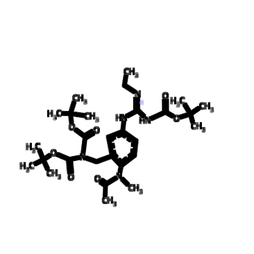 CC/N=C(/NC(=O)OC(C)(C)C)Nc1ccc(N(C)C(C)=O)c(CN(C(=O)OC(C)(C)C)C(=O)OC(C)(C)C)c1